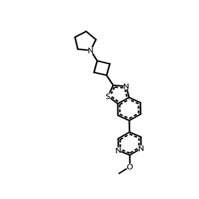 COc1ncc(-c2ccc3nc(C4CC(N5CCCC5)C4)sc3c2)cn1